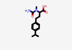 CC(C)c1ccc(CCC(C(=O)O)N(C)C(N)=O)cc1